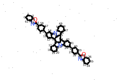 c1ccc2oc(-c3ccc(-c4ccc5c6c7c8ccccc8n8c9cc(-c%10ccc(-c%11nc%12ccccc%12o%11)cc%10)ccc9c(c9c%10ccccc%10n(c5c4)c96)c78)cc3)nc2c1